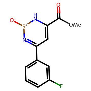 COC(=O)C1=CC(c2cccc(F)c2)=N[S+]([O-])N1